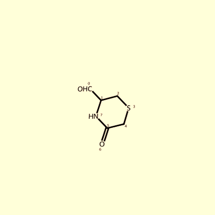 O=CC1CSCC(=O)N1